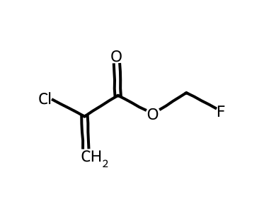 C=C(Cl)C(=O)OCF